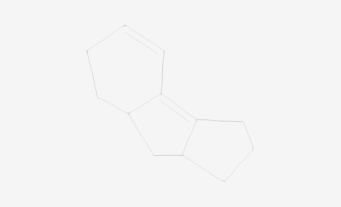 C1=CC2=C3CCCC3CC2CC1